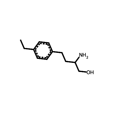 CCc1ccc(CCC(N)CO)cc1